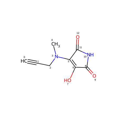 C#CCN(C)C1=C(O)C(=O)NC1=O